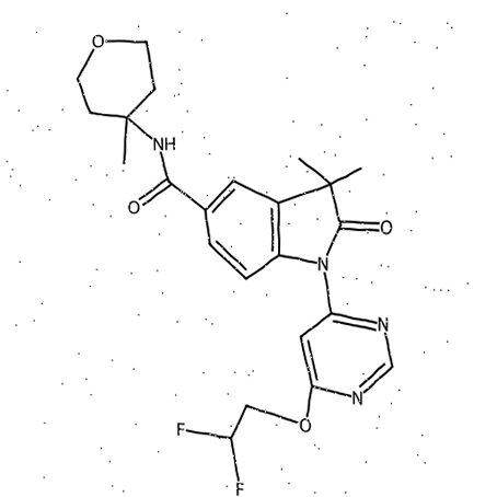 CC1(NC(=O)c2ccc3c(c2)C(C)(C)C(=O)N3c2cc(OCC(F)F)ncn2)CCOCC1